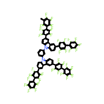 Cc1c(F)c(F)c(F)c(-c2c(F)c(F)c(-c3ccc4c(c3)c3cc(-c5c(F)c(F)c(-c6c(F)c(F)c(F)c(F)c6F)c(F)c5F)ccc3n4-c3cccc(-n4c5ccc(-c6c(F)c(F)c(-c7c(F)c(F)c(F)c(F)c7F)c(F)c6F)cc5c5cc(-c6c(F)c(F)c(-c7c(F)c(F)c(F)c(F)c7F)c(F)c6F)ccc54)c3)c(F)c2F)c1F